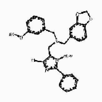 CCCCn1c(-c2ccccc2)nc(Cl)c1CN(Cc1cccc(OCC)c1)Cc1ccc2c(c1)OCO2